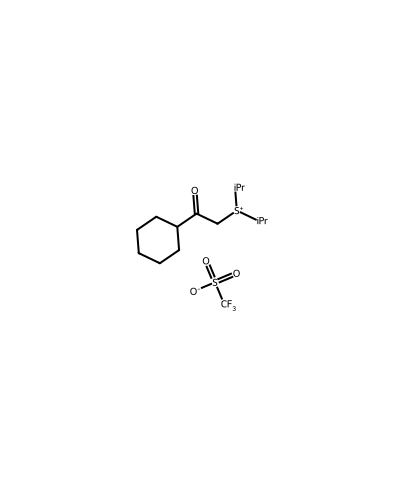 CC(C)[S+](CC(=O)C1CCCCC1)C(C)C.O=S(=O)([O-])C(F)(F)F